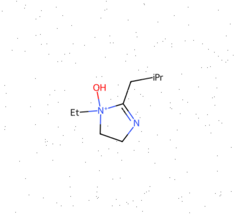 CC[N+]1(O)CCN=C1CC(C)C